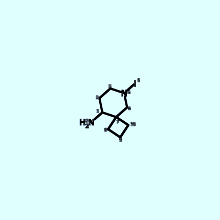 NC1CCN(I)CC12CCC2